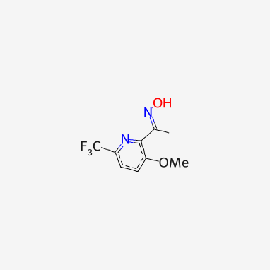 COc1ccc(C(F)(F)F)nc1/C(C)=N/O